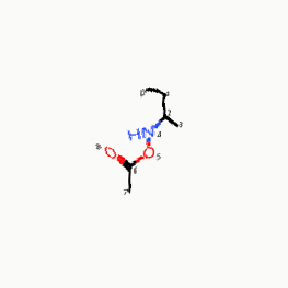 CCC(C)NOC(C)=O